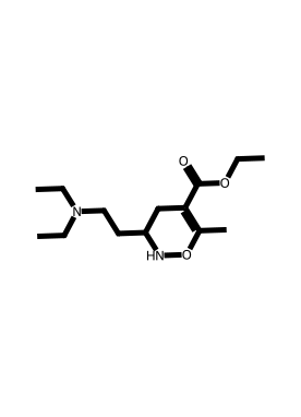 CCOC(=O)C1=C(C)ONC(CCN(CC)CC)C1